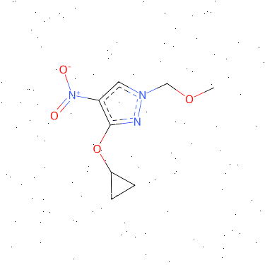 COCn1cc([N+](=O)[O-])c(OC2CC2)n1